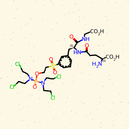 N[C@@H](CCC(=O)N[C@@H](Cc1cccc(S(=O)(=O)CCOP(=O)(N(CCCl)CCCl)N(CCCl)CCCl)c1)C(=O)NCC(=O)O)C(=O)O